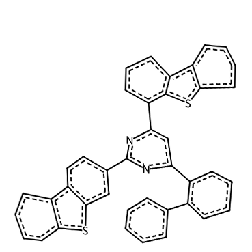 c1ccc(-c2ccccc2-c2cc(-c3cccc4c3sc3ccccc34)nc(-c3ccc4c(c3)sc3ccccc34)n2)cc1